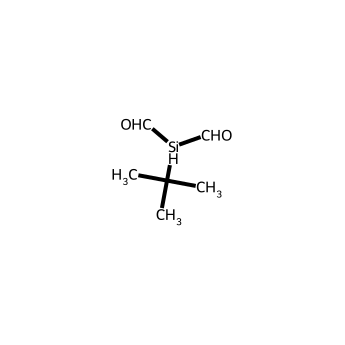 CC(C)(C)[SiH](C=O)C=O